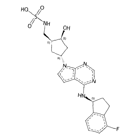 O=S(=O)(O)NC[C@@H]1C[C@@H](n2ccc3c(N[C@H]4CCc5c(F)cccc54)ncnc32)C[C@@H]1O